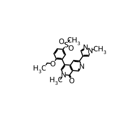 CCOc1ccc(S(C)(=O)=O)cc1-c1cn(C)c(=O)c2cnc(-c3cnn(C)c3)cc12